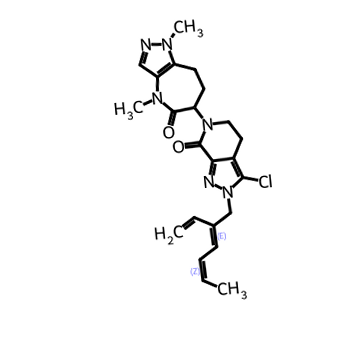 C=C/C(=C\C=C/C)Cn1nc2c(c1Cl)CCN(C1CCc3c(cnn3C)N(C)C1=O)C2=O